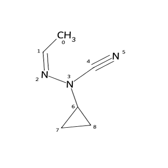 C/C=N\N(C#N)C1CC1